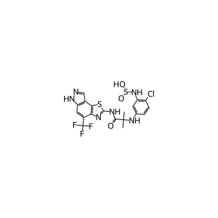 CC(C)(Nc1ccc(Cl)c(NS(=O)O)c1)C(=O)Nc1nc2c(C(F)(F)F)cc3[nH]ncc3c2s1